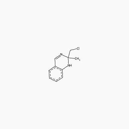 CC1(CCl)N=Cc2ccccc2N1